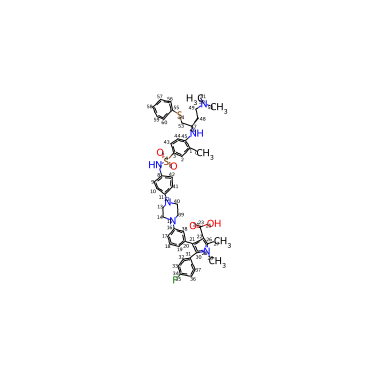 Cc1cc(S(=O)(=O)Nc2ccc(N3CCN(c4cccc(-c5c(C(=O)O)c(C)n(C)c5-c5ccc(F)cc5)c4)CC3)cc2)ccc1N[C@H](CCN(C)C)CSc1ccccc1